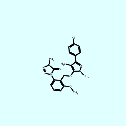 COc1cccc(-n2nnn(C)c2=O)c1COc1c(C)c(-c2ccc(Cl)cc2)nn1C